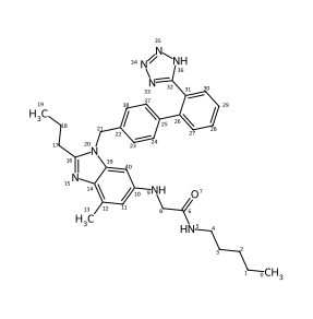 CCCCCNC(=O)CNc1cc(C)c2nc(CCC)n(Cc3ccc(-c4ccccc4-c4nnn[nH]4)cc3)c2c1